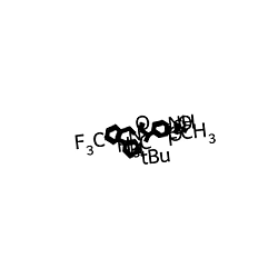 CC(C(=O)NCc1ccc(C(F)(F)F)cc1-c1ccc(C(C)(C)C)cc1)c1ccc(NS(C)(=O)=O)c(F)c1